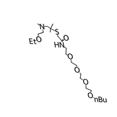 CCCCOCCOCCOCCOCCNC(=O)CSC(C)(C)CN(C)CCOCC